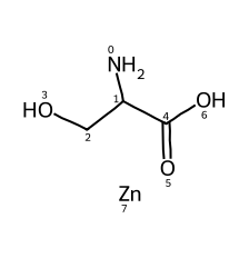 NC(CO)C(=O)O.[Zn]